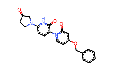 O=C1CCN(c2ccc(-n3ccc(OCc4ccccc4)cc3=O)c(=O)[nH]2)C1